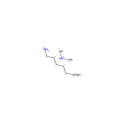 CCCCCCCCCCCCN.CCCNCCC